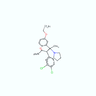 CNC(=O)C(c1ccc(Cl)c(Cl)c1)C(C)(c1cccc(OCC(=O)O)c1)N1CCCC1